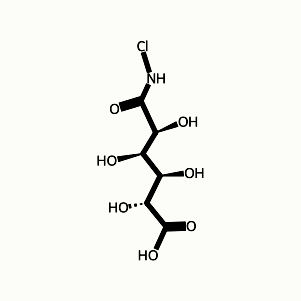 O=C(NCl)[C@@H](O)[C@H](O)[C@@H](O)[C@@H](O)C(=O)O